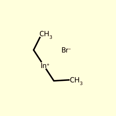 C[CH2][In+][CH2]C.[Br-]